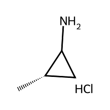 C[C@H]1CC1N.Cl